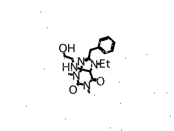 CCN1C(Cc2ccccc2)=NC2(NCCO)C1C(=O)N(C)C(=O)N2C